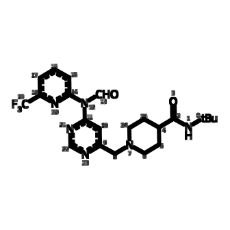 CC(C)(C)NC(=O)C1CCN(Cc2cc(N(C=O)c3cccc(C(F)(F)F)n3)ncn2)CC1